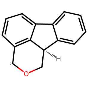 [C]1OC[C@@H]2c3ccccc3-c3cccc1c32